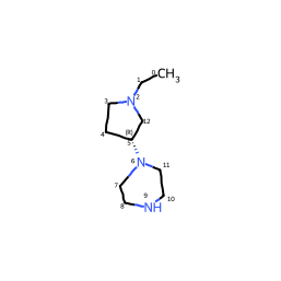 CCN1CC[C@@H](N2CCNCC2)C1